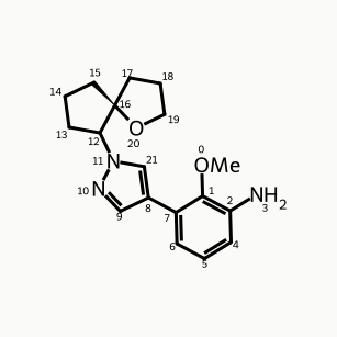 COc1c(N)cccc1-c1cnn(C2CCC[C@]23CCCO3)c1